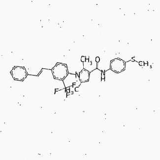 CSc1ccc(NC(=O)c2cc(C)n(-c3ccc(/C=C/c4ccccc4)cc3C(F)(F)F)c2C)cc1